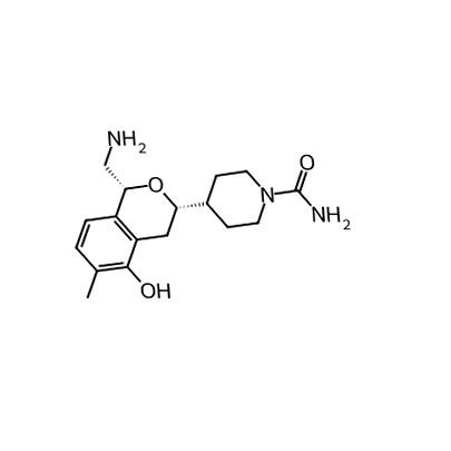 Cc1ccc2c(c1O)C[C@@H](C1CCN(C(N)=O)CC1)O[C@H]2CN